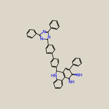 N=C1C(=N)C2=C(C=C1c1ccccc1)C(c1ccc(-c3ccc(-c4nc(-c5ccccc5)nc(-c5ccccc5)n4)cc3)cc1)Nc1ccccc12